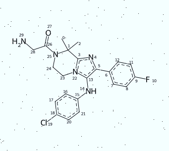 CC1(C)c2nc(-c3ccc(F)cc3)c(Nc3ccc(Cl)cc3)n2CCN1C(=O)CN